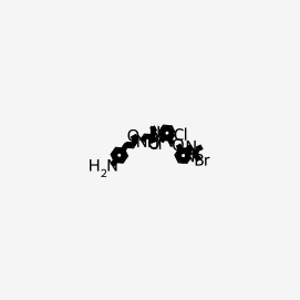 Cc1nc2c(OCc3c(Cl)ccc(N(C)C(=O)CNC(=O)/C=C/c4ccc(N)cc4)c3Cl)cccn2c1Br